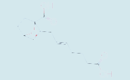 O=C(O)CCCC=CCC1CC2CCC1(C(=O)O)O2